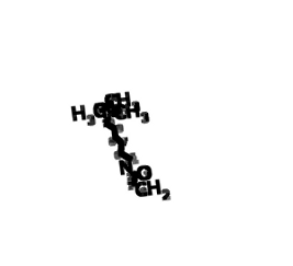 C=CC(=O)[N-]CCCCCC[N+](C)(C)C